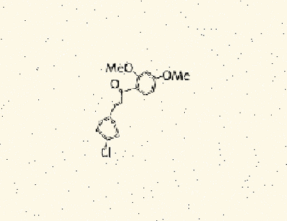 COc1ccc(C(=O)/C=C/c2ccc(Cl)cc2)c(OC)c1